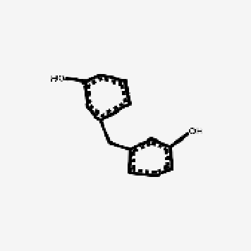 Oc1cccc(Cc2cccc(O)c2)c1